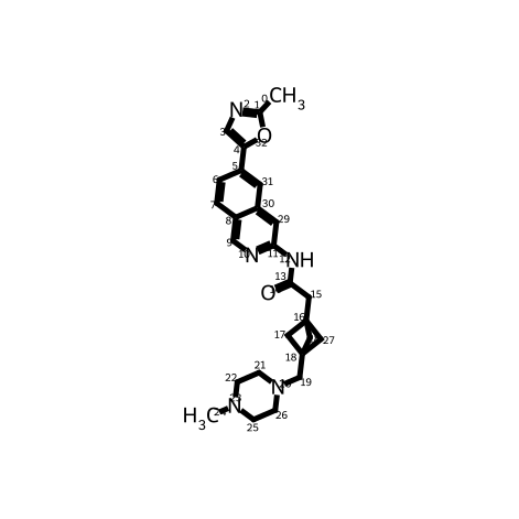 Cc1ncc(-c2ccc3cnc(NC(=O)CC45CC(CN6CCN(C)CC6)(C4)C5)cc3c2)o1